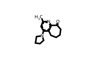 Cc1cc(N2CCCC2)c2c(n1)C(=O)CCCC2